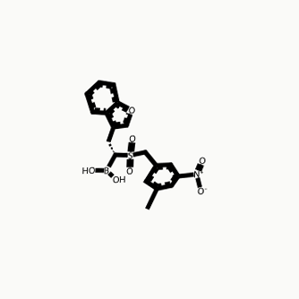 Cc1cc(CS(=O)(=O)[C@@H](Cc2coc3ccccc23)B(O)O)cc([N+](=O)[O-])c1